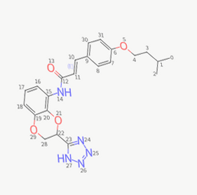 CC(C)CCOc1ccc(/C=C/C(=O)Nc2cccc3c2OC(c2nnn[nH]2)CO3)cc1